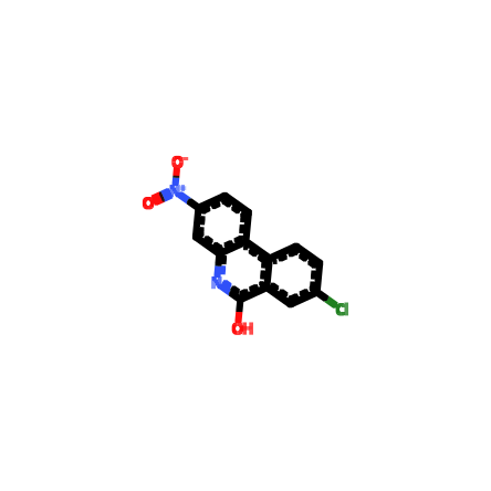 O=[N+]([O-])c1ccc2c(c1)nc(O)c1cc(Cl)ccc12